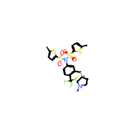 Cc1ccc(S(=O)(=O)N(c2ccc(C(F)(F)F)c(C[C@@H]3CCN(C)C3)c2)S(=O)(=O)c2ccc(C)s2)s1